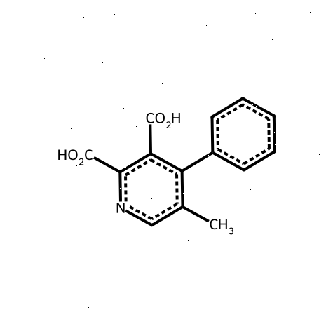 Cc1cnc(C(=O)O)c(C(=O)O)c1-c1ccccc1